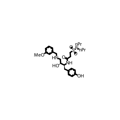 CCCN(CCC)S(=O)(=O)CCC(=O)N[C@@H](Cc1ccc(O)cc1)[C@H](O)CNCc1cccc(OC)c1